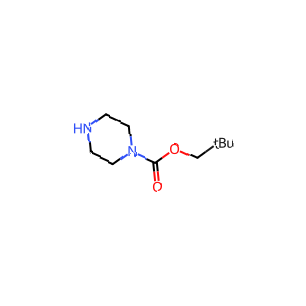 CC(C)(C)COC(=O)N1CCNCC1